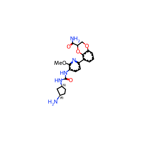 COc1nc(-c2cccc3c2OC(C(N)=O)CO3)ccc1NC(=O)N[C@H]1CC[C@@H](N)C1